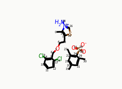 Cc1c(CCOCc2c(Cl)cccc2Cl)sc[n+]1N.Cc1cc(C)c(S(=O)(=O)[O-])c(C)c1